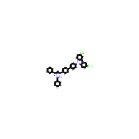 Brc1ccc2c(c1)c1cc(Br)ccc1n2-c1ccc(-c2ccc(-c3cc(-c4ccccc4)nc(-c4ccccc4)n3)cc2)cc1